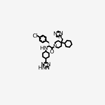 O=C([C@@H](Cc1ccc(Cl)cc1)NC1CCC(c2nn[nH]n2)CC1)N1CCC(Cn2cncn2)(C2CCCCC2)CC1